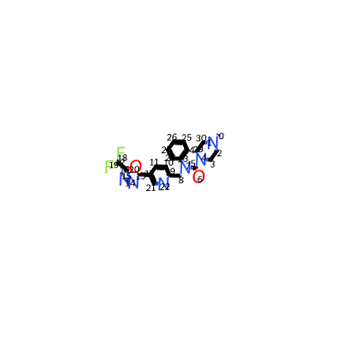 CN1CCN(C(=O)N(Cc2ccc(-c3nnc(C(F)F)o3)cn2)c2ccccc2)CC1